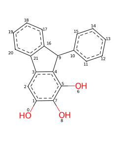 Oc1cc2c(c(O)c1O)C(c1ccccc1)c1ccccc1-2